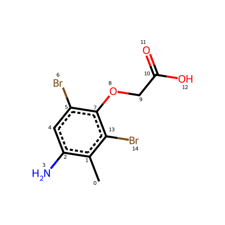 Cc1c(N)cc(Br)c(OCC(=O)O)c1Br